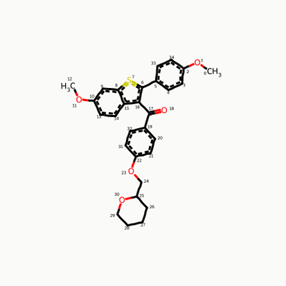 COc1ccc(-c2sc3cc(OC)ccc3c2C(=O)c2ccc(OCC3CCCCO3)cc2)cc1